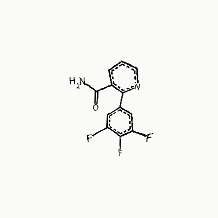 NC(=O)c1cccnc1-c1cc(F)c(F)c(F)c1